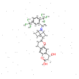 C[C@H](C(=O)O)[C@@H](O)c1ccc2c(c1)OC(C1CC3N([C@H](C)c4cc(C(F)(F)F)ccc4C(F)(F)F)C4CCC143)CC2